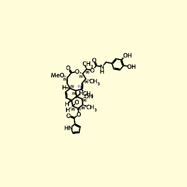 CO[C@H]1C[C@H]2C=C[C@H]3[C@H]4O[C@]2(/C(C)=C/[C@@H](C)[C@@H]([C@@H](C)OC(=O)NCc2ccc(O)c(O)c2)OC1=O)[C@@H]3[C@H](O)[C@@H](C)[C@H]4OC(=O)c1ccc[nH]1